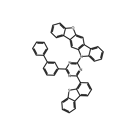 c1ccc(-c2cccc(-c3nc(-c4cccc5c4sc4ccccc45)nc(-n4c5ccccc5c5cc6oc7ccccc7c6cc54)n3)c2)cc1